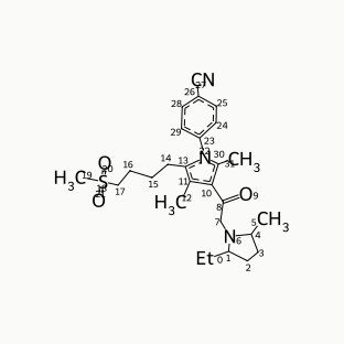 CCC1CCC(C)N1CC(=O)c1c(C)c(CCCCS(C)(=O)=O)n(-c2ccc(C#N)cc2)c1C